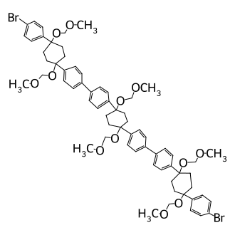 COCOC1(c2ccc(Br)cc2)CCC(OCOC)(c2ccc(-c3ccc(C4(OCOC)CCC(OCOC)(c5ccc(-c6ccc(C7(OCOC)CCC(OCOC)(c8ccc(Br)cc8)CC7)cc6)cc5)CC4)cc3)cc2)CC1